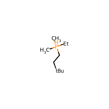 CC[PH](C)(C)CCC(C)(C)C